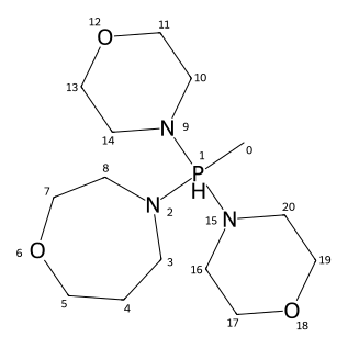 C[PH](N1CCCOCC1)(N1CCOCC1)N1CCOCC1